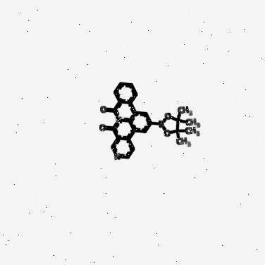 CC1(C)OB(c2cc3c4ccccc4c(=O)n4c(=O)c5cnccc5c(c2)c34)OC1(C)C